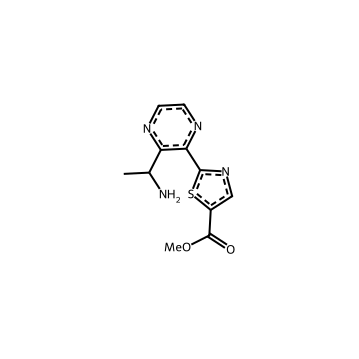 COC(=O)c1cnc(-c2nccnc2C(C)N)s1